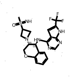 CS(=N)(=O)C1CN([C@H]2COc3ccccc3[C@@H]2Nc2ncnc3[nH]c(C(F)(F)F)cc23)C1